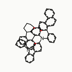 c1ccc(-n2c3ccccc3c3ccc(N(c4ccccc4-c4cccc5c4ccc4ccccc45)c4ccccc4-c4cccc5cccc(C6CCCCC6)c45)cc32)cc1